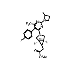 COC(=O)CC1[C@H]2CN(c3nc(N4CCC4C)nc(C(F)(F)F)c3-c3ccc(F)cc3)C[C@@H]12